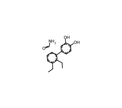 CCc1cccc(-c2ccc(O)c(O)c2)c1CC.NC=O